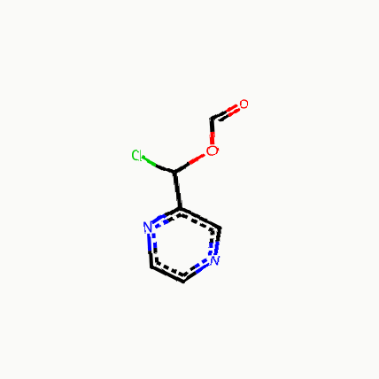 O=COC(Cl)c1cnccn1